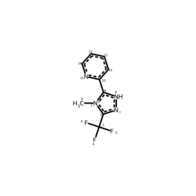 C[n+]1c(C(F)(F)F)n[nH]c1-c1ccccn1